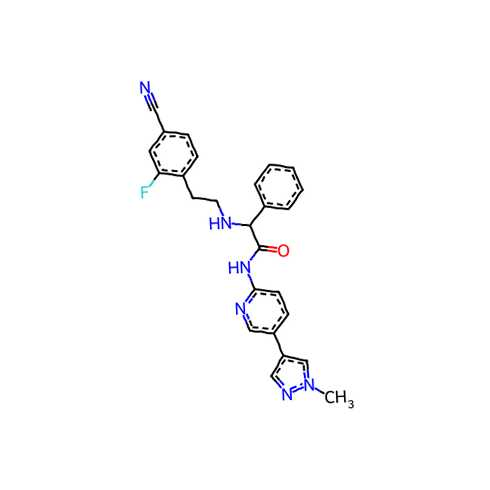 Cn1cc(-c2ccc(NC(=O)C(NCCc3ccc(C#N)cc3F)c3ccccc3)nc2)cn1